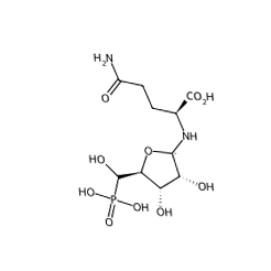 NC(=O)CC[C@H](N[C]1O[C@H](C(O)P(=O)(O)O)[C@@H](O)[C@H]1O)C(=O)O